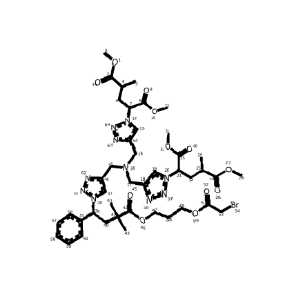 COC(=O)C(C)CC(C(=O)OC)n1cc(CN(Cc2cn(C(CC(C)C(=O)OC)C(=O)OC)nn2)Cc2cn(C(CC(C)(C)C(=O)OCCCOC(=O)CBr)c3ccccc3)nn2)nn1